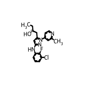 CC[C@@H](O)Cc1cc(Nc2cccc(Cl)c2F)nn1-c1ccnc(C)c1